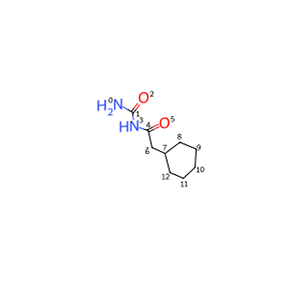 NC(=O)NC(=O)[CH]C1CCCCC1